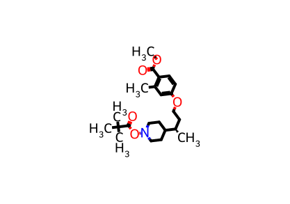 COC(=O)c1ccc(OCC[C@@H](C)C2CCN(OC(=O)C(C)(C)C)CC2)cc1C